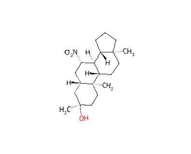 C[C@@]1(O)CC[C@@]2(C)[C@@H](C[C@H]([N+](=O)[O-])[C@H]3[C@@H]4CCC[C@@]4(C)CC[C@@H]32)C1